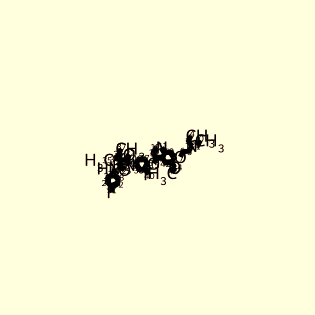 CCN(CC)CCOc1cc2nccc(Oc3ccc(NC(=O)C4(C(=O)Nc5ccc(F)cc5)C(C)C4C)cc3F)c2cc1OC